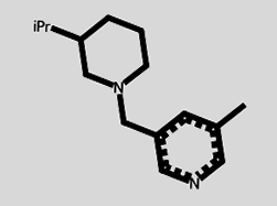 Cc1cncc(CN2CCCC(C(C)C)C2)c1